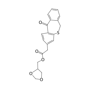 O=C(Cc1ccc2c(c1)SCc1ccccc1C2=O)OCC1COCO1